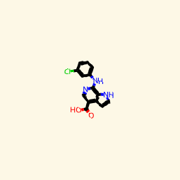 O=C(O)c1cnc(Nc2cccc(Cl)c2)c2[nH]ccc12